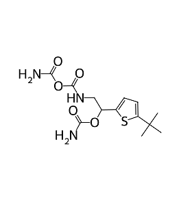 CC(C)(C)c1ccc(C(CNC(=O)OC(N)=O)OC(N)=O)s1